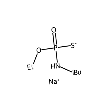 CCOP(=O)([S-])NC(C)CC.[Na+]